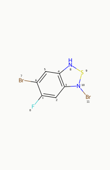 Fc1cc2c(cc1Br)NSN2Br